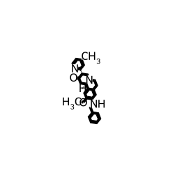 COc1cc2c(cc1NCc1ccccc1)CCN1C[C@@H](c3cc(C)ccn3)C(=O)C[C@H]21